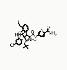 CC(C)(C)C[C@@H]1N[C@@H](C(=O)Nc2ccc(C(N)=O)nc2)[C@H](c2cccc(CI)c2F)[C@]12C(=O)Nc1cc(Cl)ccc12